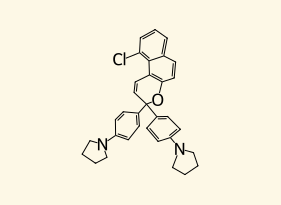 Clc1cccc2ccc3c(c12)C=CC(c1ccc(N2CCCC2)cc1)(c1ccc(N2CCCC2)cc1)O3